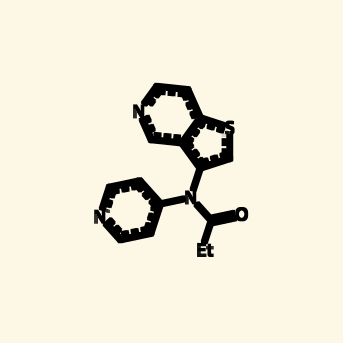 CCC(=O)N(c1ccncc1)c1csc2ccncc12